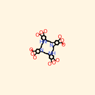 O=C1OC(=O)c2cc3c(cc21)-c1cc2[nH]c(cc4nc(cc5[nH]c(cc-3n1)c1cc3c(cc51)C(=O)OC3=O)-c1cc3c(cc1-4)C(=O)OC3=O)c1cc3c(cc21)C(=O)OC3=O